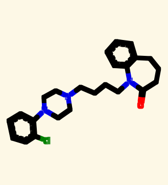 O=C1CCCc2ccccc2N1CCCCN1CCN(c2ccccc2Cl)CC1